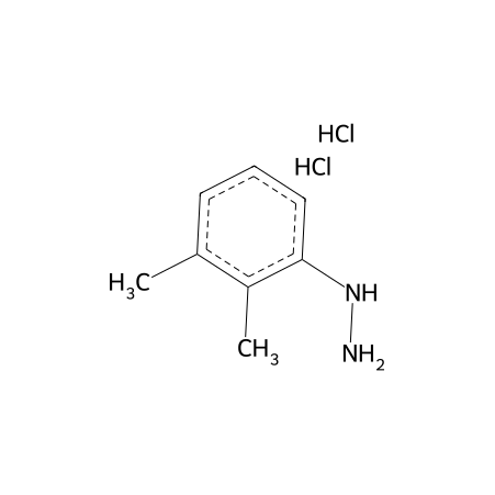 Cc1cccc(NN)c1C.Cl.Cl